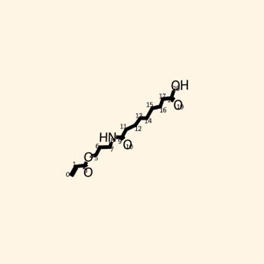 C=CC(=O)OCCCNC(=O)CCCCCCCC(=O)O